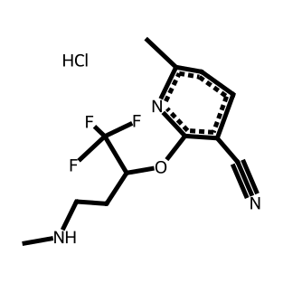 CNCCC(Oc1nc(C)ccc1C#N)C(F)(F)F.Cl